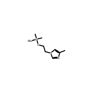 Cc1cn(CCO[Si](C)(C)C(C)(C)C)cn1